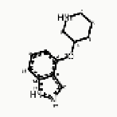 c1cc(OC2CCCNC2)c2cn[nH]c2c1